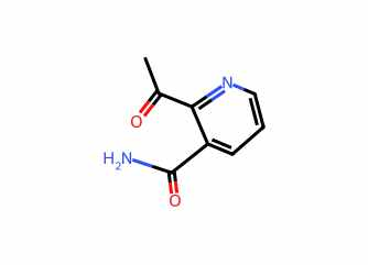 CC(=O)c1ncccc1C(N)=O